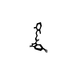 CC1CCCC(C)N1CCCNc1n[nH]c2ccc(Cl)cc12